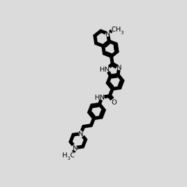 CN1CCN(CCc2ccc(NC(=O)c3ccc4nc(-c5ccc6c(c5)CCCN6C)[nH]c4c3)cc2)CC1